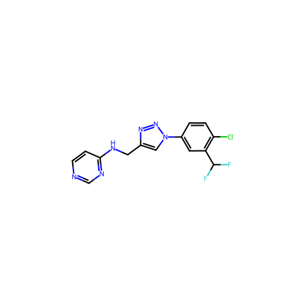 FC(F)c1cc(-n2cc(CNc3ccncn3)nn2)ccc1Cl